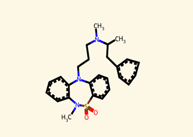 CC(Cc1ccccc1)N(C)CCCN1c2ccccc2N(C)S(=O)(=O)c2ccccc21